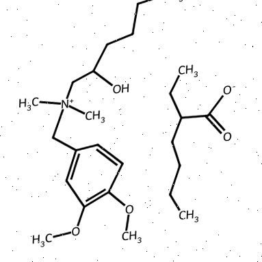 CCCCC(CC)C(=O)[O-].CCCCC(O)C[N+](C)(C)Cc1ccc(OC)c(OC)c1